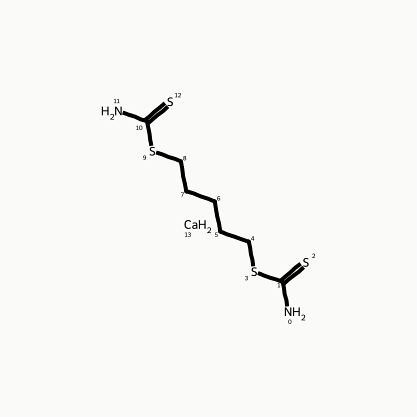 NC(=S)SCCCCCSC(N)=S.[CaH2]